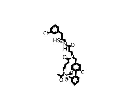 CCCC(=O)N(CCC(=O)NC[C@@H](S)Cc1cccc(Cl)c1)Cc1ccc(-c2ccccc2S(=O)(=O)NC(C)=O)c(Cl)c1